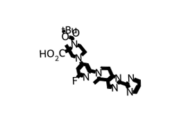 CC1c2cnc(-c3ncccn3)nc2CCN1c1cc(N2CCN(C(=O)OC(C)(C)C)C(C)(C(=O)O)C2)cc(F)n1